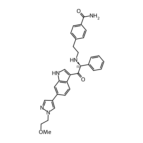 COCCn1cc(-c2ccc3c(C(=O)[C@@H](NCCc4ccc(C(N)=O)cc4)c4ccccc4)c[nH]c3c2)cn1